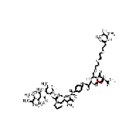 CC[C@@H](C)[C@@H](C(NC)[C@@H](C(C)C)C(N)[C@H](C(C)C)N(C)C)[C@@H](CC(=O)N1CCC[C@H]1[C@H](OC)[C@@H](C)C(=O)NS(=O)(=O)c1ccc(NC(=O)[C@H](CCCNC(N)=O)NC(COCCOCCOCCC(=O)N[C@@H](C)C(C)C)N2C(=O)C=CC2=O)cc1)OC